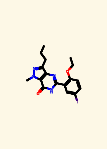 CCCc1nn(C)c2c(=O)[nH]c(-c3cc(I)ccc3OCC)nc12